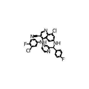 N#Cc1cnc2c(Cl)cc(NC(c3ccc(F)cc3)c3cnccn3)cc2c1Nc1ccc(F)c(Cl)c1